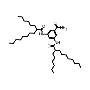 CCCCCCCCC(CCCCCC)C(=O)Nc1cc(NC(=O)C(CCCCCC)CCCCCCCC)cc(C(N)=O)c1